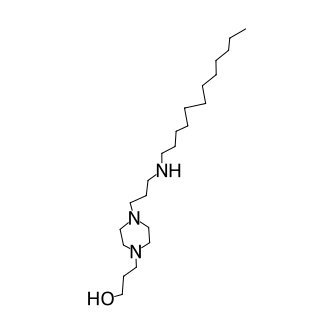 CCCCCCCCCCCCNCCCN1CCN(CCCO)CC1